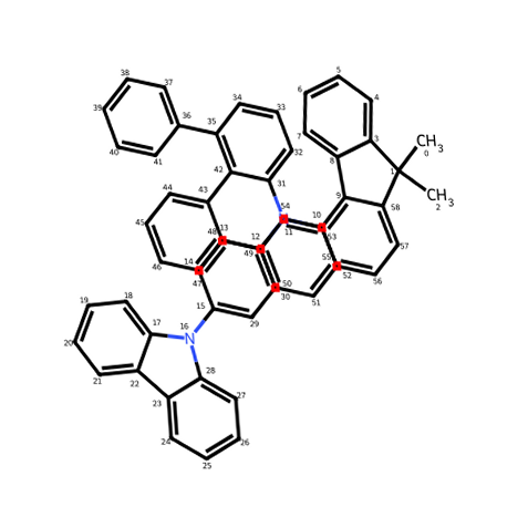 CC1(C)c2ccccc2-c2c(N(c3ccc(-n4c5ccccc5c5ccccc54)cc3)c3cccc(-c4ccccc4)c3-c3ccccc3-c3ccccc3)cccc21